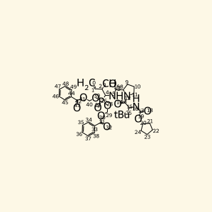 C=CC(C)C(NC(=O)C1CCCN1C(=O)C(NC(=O)OC1CCCC1)C(C)(C)C)P(=O)(OCOC(=O)c1ccccc1)OCOC(=O)c1ccccc1